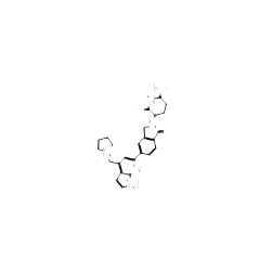 O=C1CCC(N2Cc3cc(-c4cc(CN5CCCC5)c5cc[nH]c5n4)ccc3C2=O)C(=O)N1